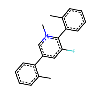 Cc1ccccc1-c1cc(F)c(-c2ccccc2C)[n+](C)c1